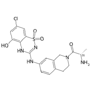 C[C@H](N)C(=O)N1CCc2ccc(NC3=NS(=O)(=O)c4cc(Cl)cc(O)c4N3)cc2C1